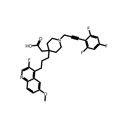 COc1ccc2ncc(F)c(CCCC3(CC(=O)O)CCN(CC#Cc4c(F)cc(F)cc4F)CC3)c2c1